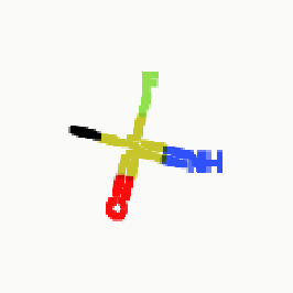 CS(=N)(=O)F